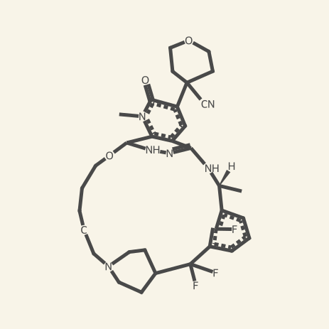 C[C@H]1NC2=NNC(OCCCCCN3CCC(CC3)C(F)(F)c3cccc1c3F)c1c2cc(C2(C#N)CCOCC2)c(=O)n1C